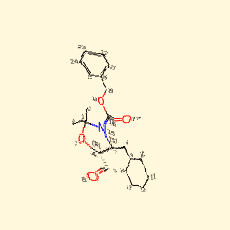 CC1(C)O[C@@H](C=O)[C@H](CC2CCCCC2)N1C(=O)OCc1ccccc1